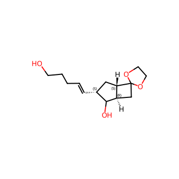 OCCCC=C[C@@H]1C[C@H]2[C@@H](CC23OCCO3)C1O